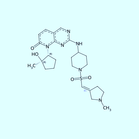 CN1CC/C(=C\S(=O)(=O)N2CCC(Nc3ncc4ccc(=O)n([C@@H]5CCC[C@@]5(C)O)c4n3)CC2)C1